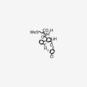 CSCC[C@H](NC(=O)c1ccc(COCc2ccc(Cl)cc2)cc1-c1ccccc1C)C(=O)O.[LiH]